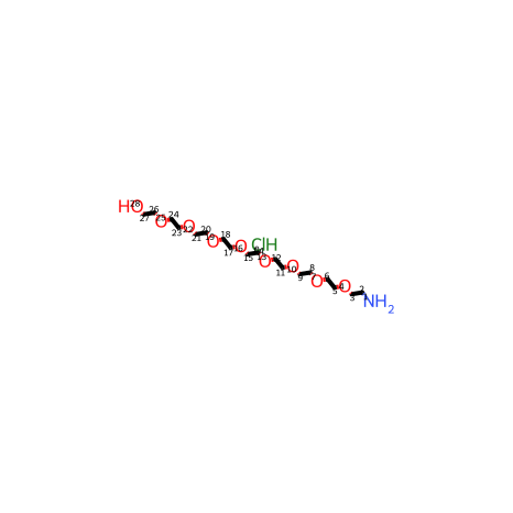 Cl.NCCOCCOCCOCCOCCOCCOCCOCCOCCO